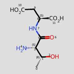 C[C@@H](O)[C@H](N)C(=O)N[C@@H](CC(=O)O)C(=O)O